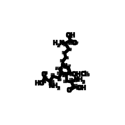 NC(CCCC[n+]1cc(O)c(CC(N)C(=O)O)c(CCC(N)C(=O)O)c1)C(=O)O.[Cl-]